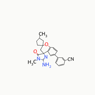 CC1CCC2(C1)CC1(N=C(N)N(C)C1=O)c1cc(-c3cccc(C#N)c3)ccc1O2